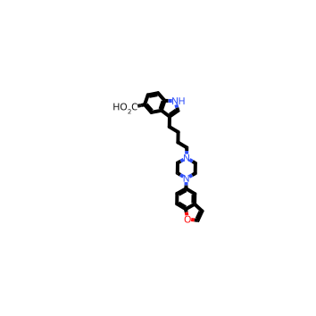 O=C(O)c1ccc2[nH]cc(CCCCN3CCN(c4ccc5occc5c4)CC3)c2c1